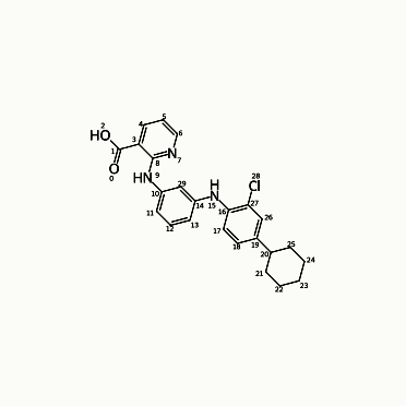 O=C(O)c1cccnc1Nc1cccc(Nc2ccc(C3CCCCC3)cc2Cl)c1